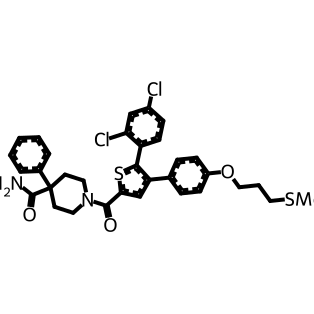 CSCCCOc1ccc(-c2cc(C(=O)N3CCC(C(N)=O)(c4ccccc4)CC3)sc2-c2ccc(Cl)cc2Cl)cc1